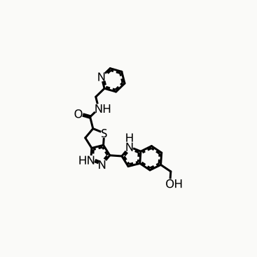 O=C(NCc1ccccn1)C1Cc2[nH]nc(-c3cc4cc(CO)ccc4[nH]3)c2S1